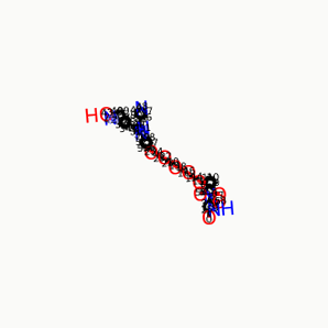 O=C1CCC(N2C(=O)c3cccc(OCCOCCOCCOCCOc4ccc(-n5cc(-c6ccc7c(c6)CC/C7=N\O)c(-c6ccncc6)n5)cc4)c3C2=O)C(=O)N1